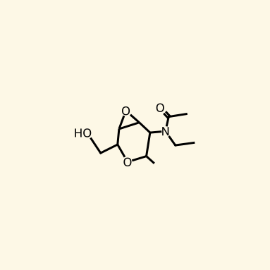 CCN(C(C)=O)C1C(C)OC(CO)C2OC21